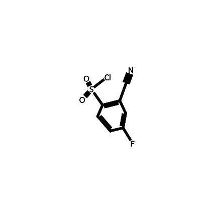 N#Cc1cc(F)[c]cc1S(=O)(=O)Cl